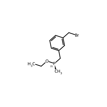 CCO[P@](C)Cc1cccc(CBr)c1